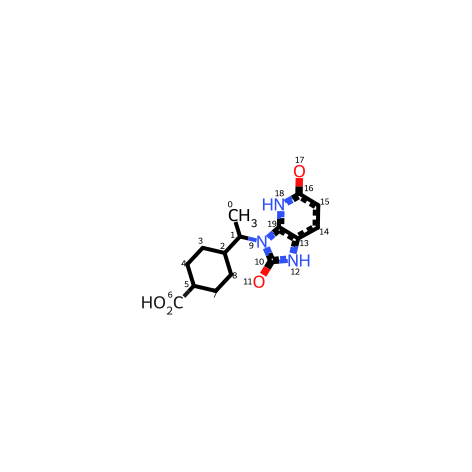 CC(C1CCC(C(=O)O)CC1)n1c(=O)[nH]c2ccc(=O)[nH]c21